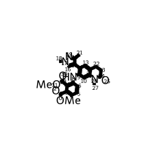 COC(=O)c1cccc(Nc2cc3c(cc2-c2cn(C)nc2C)CCC(=O)N3C)c1C(=O)OC